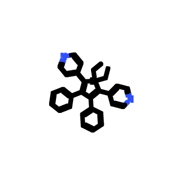 CC[Si]1(CC)C(c2ccncc2)=C(c2ccccc2)C(c2ccccc2)=C1c1ccncc1